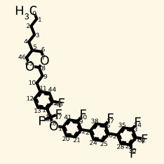 CCCCCC1COC(CCc2ccc(C(F)(F)Oc3ccc(-c4ccc(-c5cc(F)c(F)c(F)c5)c(F)c4)c(F)c3)c(F)c2)OC1